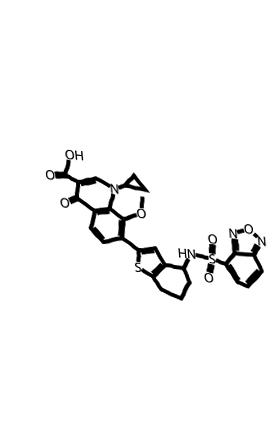 COc1c(-c2cc3c(s2)CCCC3NS(=O)(=O)c2cccc3nonc23)ccc2c(=O)c(C(=O)O)cn(C3CC3)c12